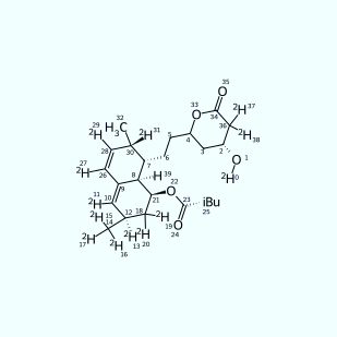 [2H]O[C@@H]1CC(CC[C@@H]2[C@@H]3C(=C([2H])[C@]([2H])(C([2H])([2H])[2H])C([2H])([2H])[C@@H]3OC(=O)[C@@H](C)CC)C([2H])=C([2H])[C@]2([2H])C)OC(=O)C1([2H])[2H]